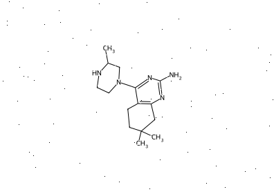 CC1CN(c2nc(N)nc3c2CCC(C)(C)C3)CCN1